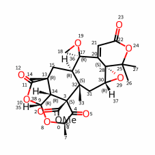 COC(=O)[C@]12C(=O)[C@@H](C)O[C@@H]3OC(=O)[C@](C)(C[C@H]4[C@]5(CO5)C5=CC(=O)OC(C)(C)[C@]56O[C@@H]6C[C@@]41C)[C@@H]32